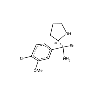 CCC(N)(c1ccc(Cl)c(OC)c1)[C@@H]1CCCN1